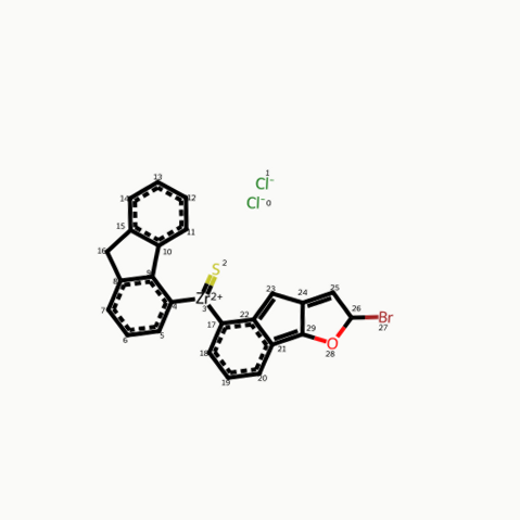 [Cl-].[Cl-].[S]=[Zr+2]([c]1cccc2c1-c1ccccc1C2)[c]1cccc2c1=CC1=CC(Br)OC=21